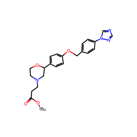 CC(C)(C)OC(=O)CCN1CCOC(c2ccc(OCc3ccc(-n4cncn4)cc3)cc2)C1